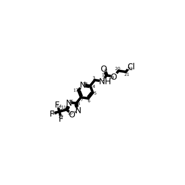 O=C(NCc1ccc(-c2noc(C(F)(F)F)n2)cn1)OCCCl